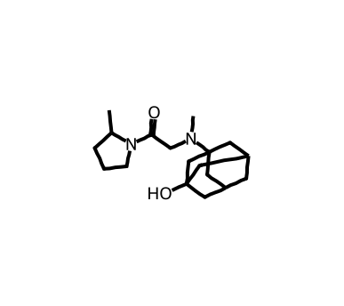 CC1CCCN1C(=O)CN(C)C12CC3CC(CC(O)(C3)C1)C2